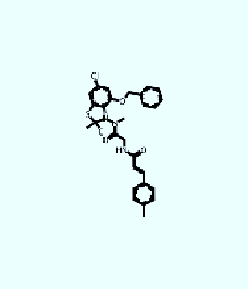 Cc1ccc(C=CC(=O)NCC(=O)N(C)N2c3c(OCc4ccccc4)cc(Cl)cc3SC2(C)Cl)cc1